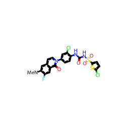 CNc1cc2ccn(-c3ccc(NC(=O)NS(=O)(=O)c4ccc(Cl)s4)c(Cl)c3)c(=O)c2cc1F